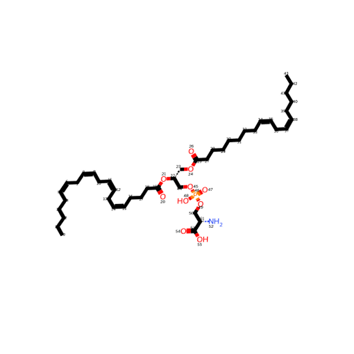 CCCCC/C=C\C/C=C\C/C=C\C/C=C\CCCC(=O)O[C@H](COC(=O)CCCCCCC/C=C\C/C=C\CCCCC)COP(=O)(O)OC[C@H](N)C(=O)O